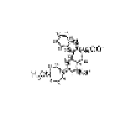 CN1CCCN(c2ccc3cc(C(=O)[O-])c4nc5ccccc5n4c3n2)CC1.[Na+]